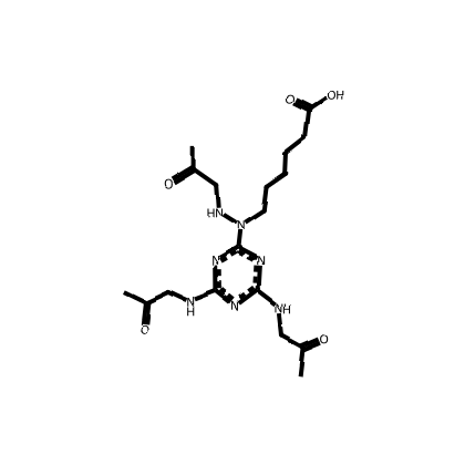 CC(=O)CNc1nc(NCC(C)=O)nc(N(CCCCCC(=O)O)NCC(C)=O)n1